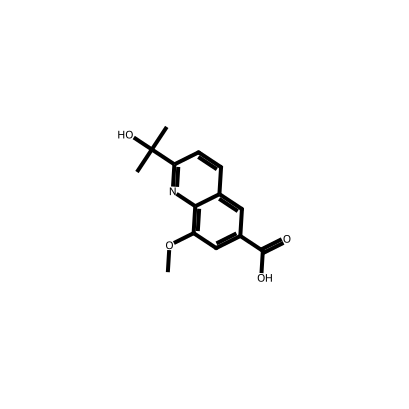 COc1cc(C(=O)O)cc2ccc(C(C)(C)O)nc12